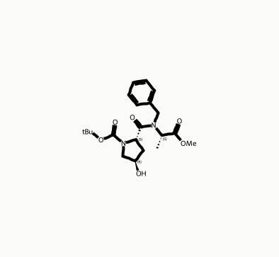 COC(=O)[C@H](C)N(Cc1ccccc1)C(=O)[C@@H]1C[C@@H](O)CN1C(=O)OC(C)(C)C